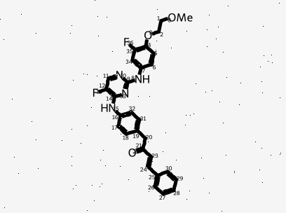 COCCOc1ccc(Nc2ncc(F)c(Nc3ccc(CC(=O)/C=C/c4ccccc4)cc3)n2)cc1F